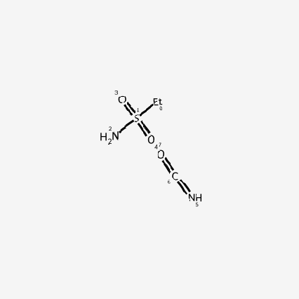 CCS(N)(=O)=O.N=C=O